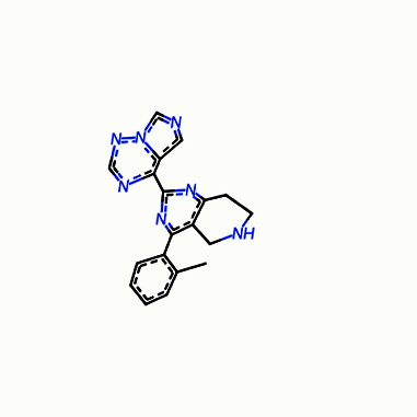 Cc1ccccc1-c1nc(-c2ncnn3cncc23)nc2c1CNCC2